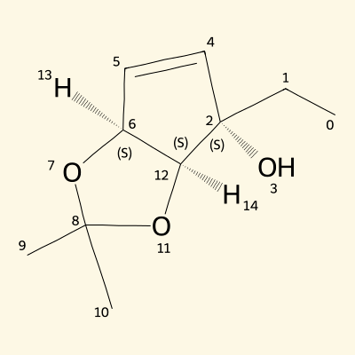 CC[C@]1(O)C=C[C@@H]2OC(C)(C)O[C@@H]21